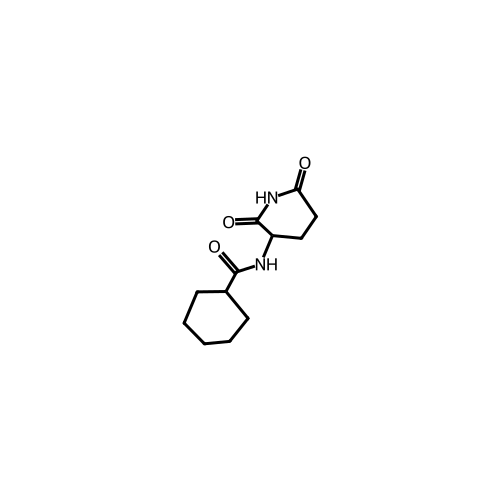 O=C1CCC(NC(=O)C2CCCCC2)C(=O)N1